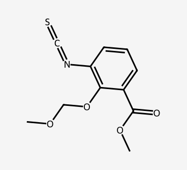 COCOc1c(N=C=S)cccc1C(=O)OC